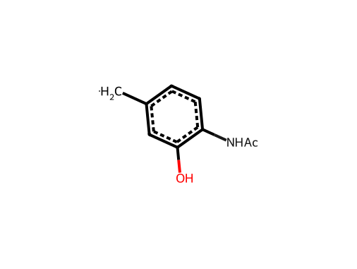 [CH2]c1ccc(NC(C)=O)c(O)c1